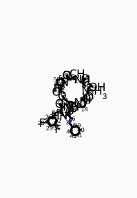 C[C@@H]1NC(=O)[C@H](CO)N(C)C(=O)[C@@H]2CCCN2C(=O)[C@@H](NC(=O)[C@H](Cc2cc(F)cc(F)c2)NC(=O)/C=C/C2CCCCC2)COC(=O)[C@@H]2CCCN2C1=O